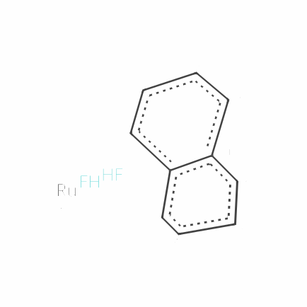 F.F.[Ru].c1ccc2ccccc2c1